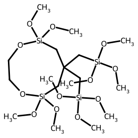 CO[Si](CC1(C[Si](OC)(OC)OC)C[Si](OC)(OC)OCCO[Si](OC)(OC)C1)(OC)OC